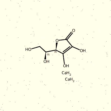 O=C1O[C@H]([C@@H](O)CO)C(O)=C1O.[CaH2].[CaH2]